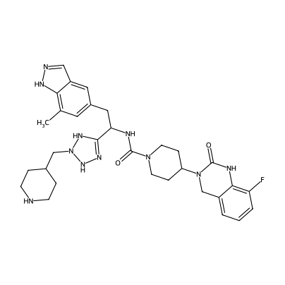 Cc1cc(CC(NC(=O)N2CCC(N3Cc4cccc(F)c4NC3=O)CC2)C2=NNN(CC3CCNCC3)N2)cc2cn[nH]c12